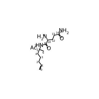 C=CCCC[C@](C)(NC(=O)[C@@H](N)CCC(N)=O)C(C)=O